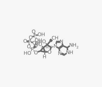 C#C[C@]1(O)[C@H](n2cnc3c2N=CNC3N)O[C@@H]2C(OP(=O)(O)OP(=O)(O)OP(=O)(O)O)[C@@]21O